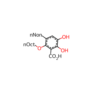 CCCCCCCCCc1cc(O)c(O)c(C(=O)O)c1OCCCCCCCC